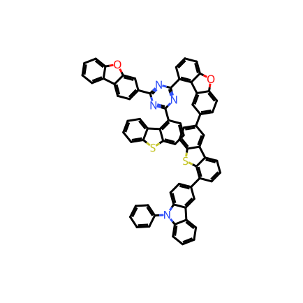 c1ccc(-n2c3ccccc3c3cc(-c4cccc5c4sc4ccc(-c6ccc7oc8cccc(-c9nc(-c%10ccc%11c(c%10)oc%10ccccc%10%11)nc(-c%10cccc%11sc%12ccccc%12c%10%11)n9)c8c7c6)cc45)ccc32)cc1